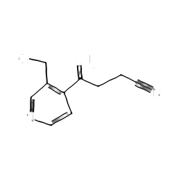 C=C(CCC#N)c1ccncc1CCl